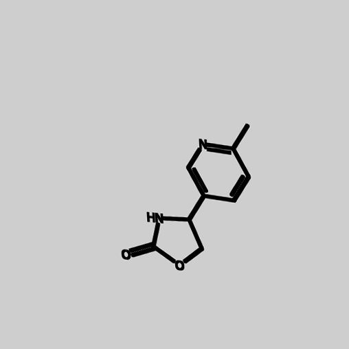 Cc1ccc(C2COC(=O)N2)cn1